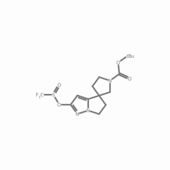 CC(C)(C)OC(=O)N1CCC2(CCn3nc(OS(=O)C(F)(F)F)cc32)C1